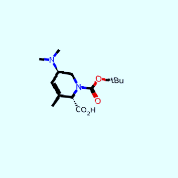 CC1=C[C@@H](N(C)C)CN(C(=O)OC(C)(C)C)[C@@H]1C(=O)O